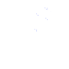 Nc1nc(-c2ccccc2)c2nc(-c3ccc4c(c3)OCCO4)ccc2n1